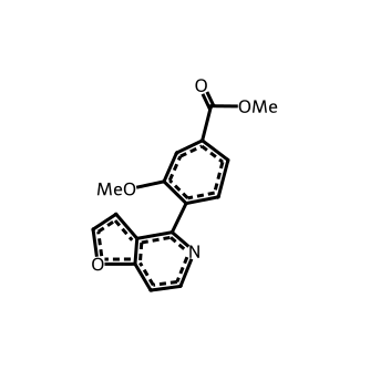 COC(=O)c1ccc(-c2nccc3occc23)c(OC)c1